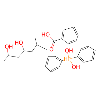 CC(C)CC(O)CC(C)O.O=C(O)c1ccccc1.O[PH](O)(c1ccccc1)c1ccccc1